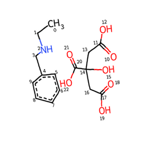 CCNCc1ccccc1.O=C(O)CC(O)(CC(=O)O)C(=O)O